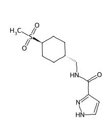 CS(=O)(=O)[C@H]1CC[C@H](CNC(=O)c2cc[nH]n2)CC1